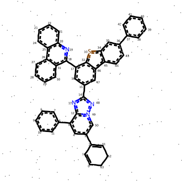 C1=CC(c2cc(-c3ccccc3)c3nc(-c4cc(-c5nc6ccccc6c6ccccc56)c5sc6cc(-c7ccccc7)ccc6c5c4)nn3c2)=CCC1